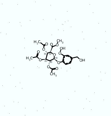 COC(=O)[C@H]1O[C@@H](Oc2ccc(CO)cc2OO)[C@H](OC(C)=O)[C@@H](OC(C)=O)[C@@H]1OC(C)=O